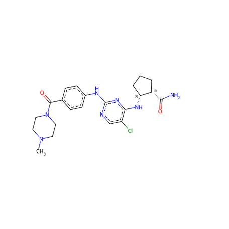 CN1CCN(C(=O)c2ccc(Nc3ncc(Cl)c(N[C@@H]4CCC[C@@H]4C(N)=O)n3)cc2)CC1